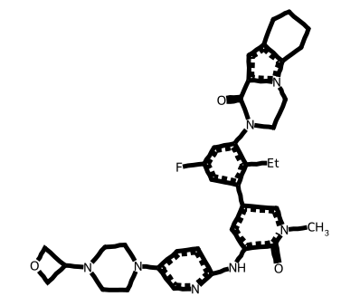 CCc1c(-c2cc(Nc3ccc(N4CCN(C5COC5)CC4)cn3)c(=O)n(C)c2)cc(F)cc1N1CCn2c(cc3c2CCCC3)C1=O